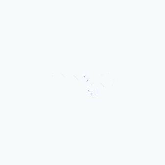 N=C(NC=Cc1ccccc1)c1ccccc1